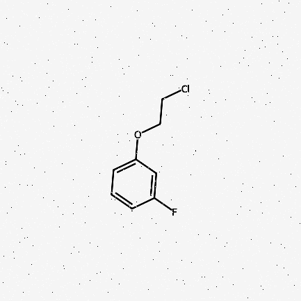 Fc1[c]ccc(OCCCl)c1